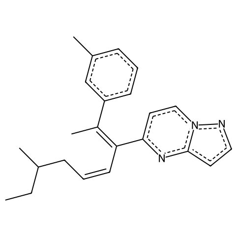 CCC(C)C/C=C\C(=C(/C)c1cccc(C)c1)c1ccn2nccc2n1